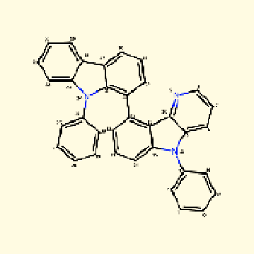 c1ccc(-n2c3cccnc3c3c(-c4cccc5c6ccccc6n(-c6ccccc6)c45)cccc32)cc1